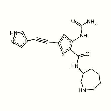 NC(=O)Nc1cc(C#Cc2cn[nH]c2)sc1C(=O)N[C@H]1CCCCNC1